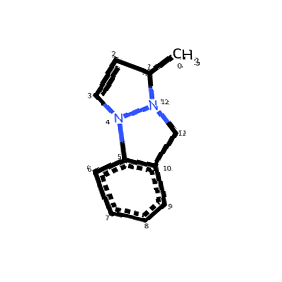 CC1C=CN2c3ccccc3CN12